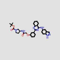 CC(C)(C)OC(=O)N1CCC(NC(=O)COc2cccc(-c3nc(Nc4ccc5[nH]ncc5c4)c4ccccc4n3)c2)C1